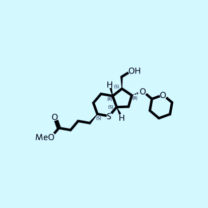 COC(=O)CCC[C@H]1CC[C@@H]2[C@@H](CO)[C@H](OC3CCCCO3)C[C@@H]2S1